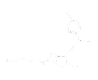 O=C(O)CCON=C1CC2C1CC(O)C2C#CC(O)c1ccc(Cl)cc1